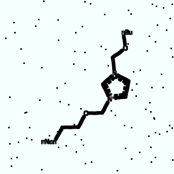 CCCCCCCCCCCOC[n+]1ccn(COCCCC)c1